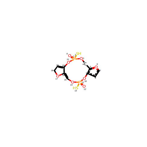 O=P1(S)OCc2occc2OP(=O)(S)O/C=C2/OCC=C2O1